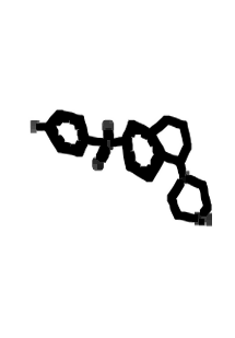 O=S(=O)(c1ccc(F)cc1)c1ccc2c(c1)CCCC2N1CCNCC1